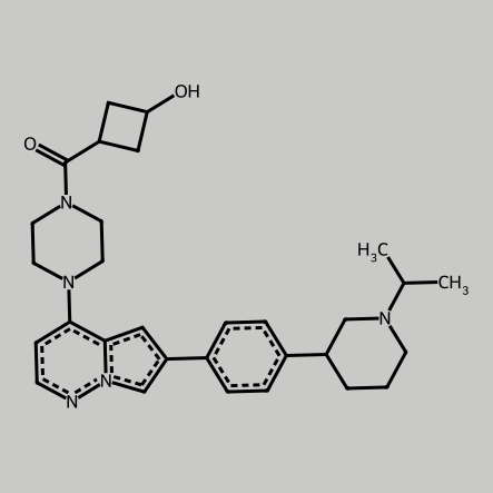 CC(C)N1CCCC(c2ccc(-c3cc4c(N5CCN(C(=O)C6CC(O)C6)CC5)ccnn4c3)cc2)C1